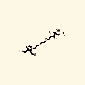 CCC(C)(O)C(=O)CCOCCOCCn1nnc(CBr)c1CBr